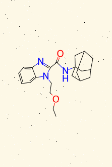 CCOCCn1c(C(=O)NC23CC4CC(CC(C4)C2)C3)nc2ccccc21